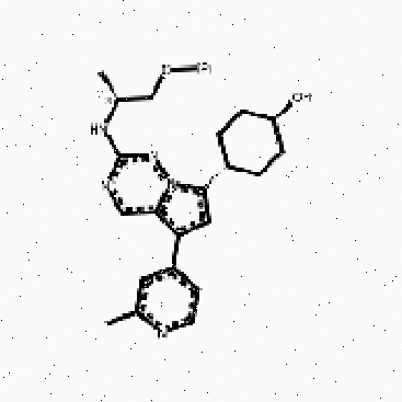 Cc1cc(-c2cc([C@H]3CC[C@H](O)CC3)n3nc(N[C@@H](C)COC(C)C)ncc23)ccn1